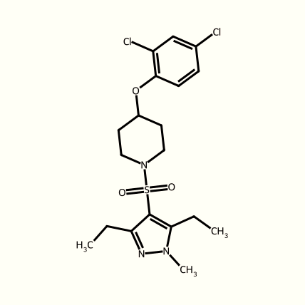 CCc1nn(C)c(CC)c1S(=O)(=O)N1CCC(Oc2ccc(Cl)cc2Cl)CC1